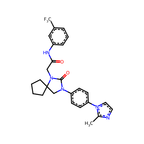 Cc1nccn1-c1ccc(N2CC3(CCCC3)N(CC(=O)Nc3cccc(C(F)(F)F)c3)C2=O)cc1